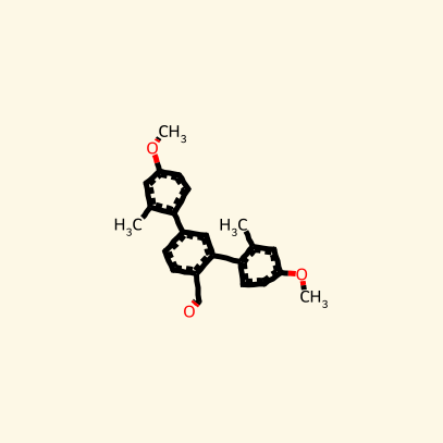 COc1ccc(-c2ccc(C=O)c(-c3ccc(OC)cc3C)c2)c(C)c1